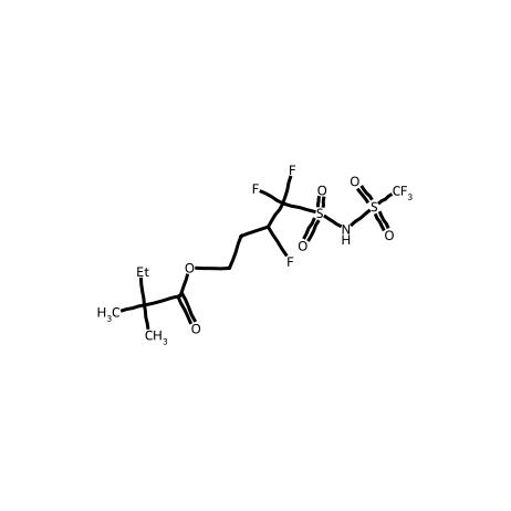 CCC(C)(C)C(=O)OCCC(F)C(F)(F)S(=O)(=O)NS(=O)(=O)C(F)(F)F